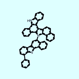 c1ccc(-c2cccc3c2sc2c4ccccc4c(-n4c5c6ccccc6ccc5c5c6c7ccccc7[nH]c6c6ccccc6c54)cc32)cc1